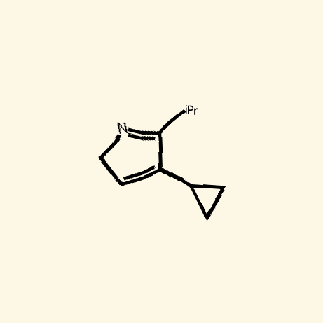 CC(C)C1=NCC=C1C1CC1